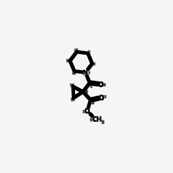 COC(=O)C1(C(=O)N2CCCCC2)CC1